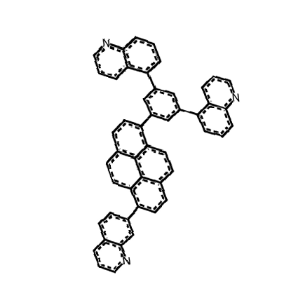 c1cnc2cc(-c3ccc4ccc5c(-c6cc(-c7cccc8ncccc78)cc(-c7cccc8ncccc78)c6)ccc6ccc3c4c65)ccc2c1